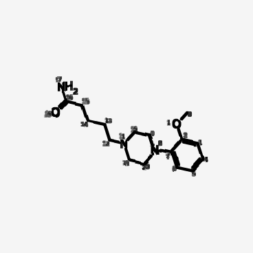 COc1ccccc1N1CCN(CCCCC(N)=O)CC1